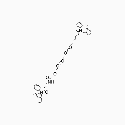 C=C(CCCCCCOCCOCCOCCOCCOCCC(=O)NCCCC(=O)N1CC(/C=C\C)/C=C(\C=C/C)/C=C/C(/C=C\C)=C1/C=C\C)N1Cc2ccccc2CCc2ccccc21